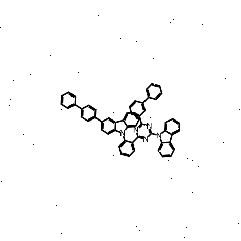 c1ccc(-c2ccc(-c3ccc4c(c3)c3ccccc3n4-c3ccccc3-c3nc(-c4cccc(-c5ccccc5)c4)nc(-n4c5ccccc5c5ccccc54)n3)cc2)cc1